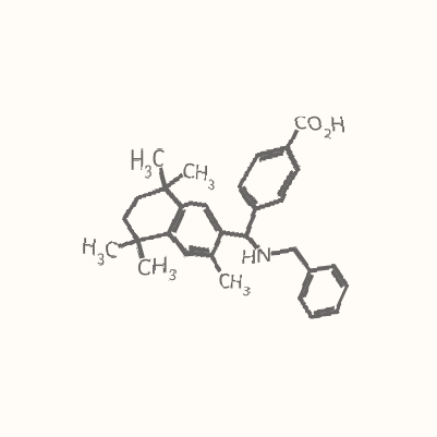 Cc1cc2c(cc1C(NCc1ccccc1)c1ccc(C(=O)O)cc1)C(C)(C)CCC2(C)C